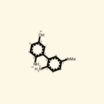 CNc1ccc(N)c(-c2cc(O)ccc2N)c1